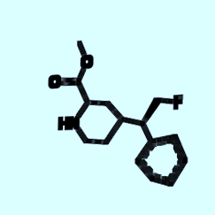 COC(=O)C1CC([C@@H](CF)c2ccccc2)CCN1